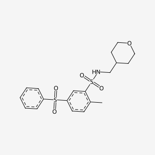 Cc1ccc(S(=O)(=O)c2ccccc2)cc1S(=O)(=O)NCC1CCOCC1